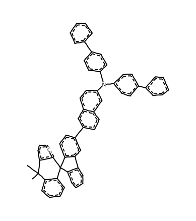 CC1(C)c2ccccc2C2(c3ccccc3-c3cc(-c4ccc5cc(N(c6ccc(-c7ccccc7)cc6)c6ccc(-c7ccccc7)cc6)ccc5c4)ccc32)c2ccccc21